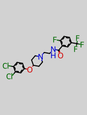 O=C(NCCN1CCC(Oc2ccc(Cl)c(Cl)c2)CC1)c1cc(C(F)(F)F)ccc1F